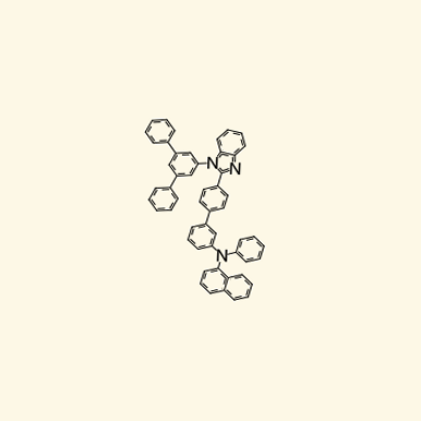 c1ccc(-c2cc(-c3ccccc3)cc(-n3c(-c4ccc(-c5cccc(N(c6ccccc6)c6cccc7ccccc67)c5)cc4)nc4ccccc43)c2)cc1